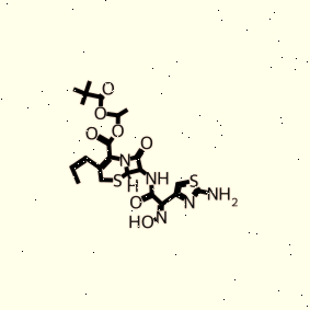 C/C=C\C1=C(C(=O)OC(C)OC(=O)C(C)(C)C)N2C(=O)C(NC(=O)/C(=N\O)c3csc(N)n3)[C@@H]2SC1